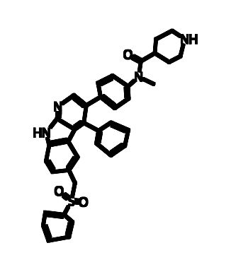 CN(C(=O)C1CCNCC1)c1ccc(-c2cnc3[nH]c4ccc(CS(=O)(=O)c5ccccc5)cc4c3c2-c2ccccc2)cc1